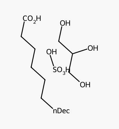 CCCCCCCCCCCCCCCC(=O)O.O=S(=O)(O)O.OCC(O)CO